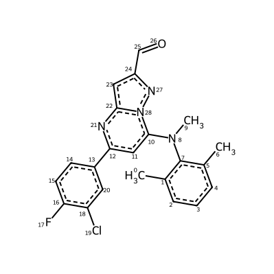 Cc1cccc(C)c1N(C)c1cc(-c2ccc(F)c(Cl)c2)nc2cc(C=O)nn12